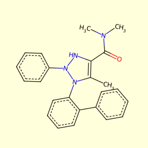 CC1=C(C(=O)N(C)C)NN(c2ccccc2)N1c1ccccc1-c1ccccc1